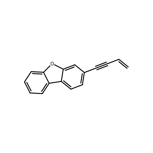 C=CC#Cc1ccc2c(c1)oc1ccccc12